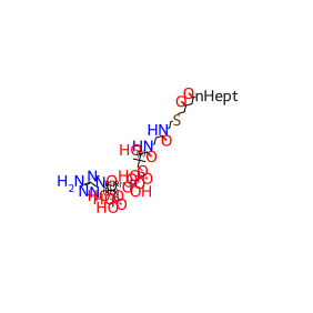 CCCCCCCC(=O)CC(=O)CCSCCNC(=O)CCNC(=O)[C@H](O)C(C)(C)COP(=O)(O)OP(=O)(O)OC[C@H]1O[C@@H](n2cnc3c(N)ncnc32)[C@H](O)[C@@H]1OP(=O)(O)O